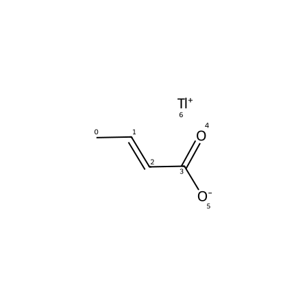 CC=CC(=O)[O-].[Tl+]